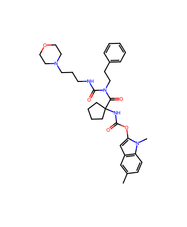 Cc1ccc2c(c1)cc(OC(=O)NC1(C(=O)N(CCc3ccccc3)C(=O)NCCCN3CCOCC3)CCCC1)n2C